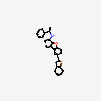 C=C(Nc1cccc2c1oc1ccc(-c3cc4ccccc4s3)cc12)c1ccccc1